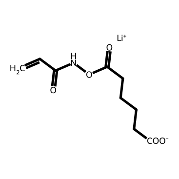 C=CC(=O)NOC(=O)CCCCC(=O)[O-].[Li+]